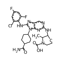 CC1C(Nc2ncc3nc(Nc4c(F)cc(F)cc4Cl)n(C4CCC(C(N)=O)CC4)c3n2)CCCN1C(=O)O